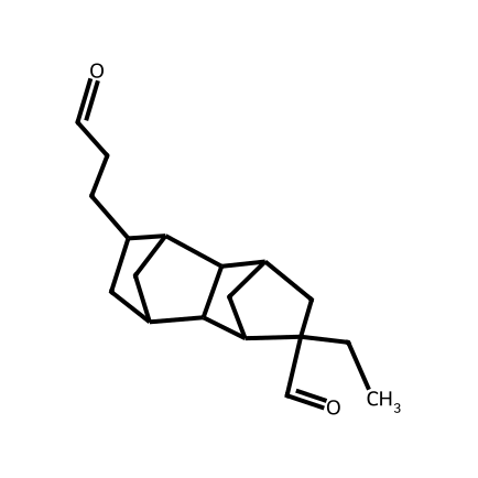 CCC1(C=O)CC2CC1C1C3CC(CCC=O)C(C3)C21